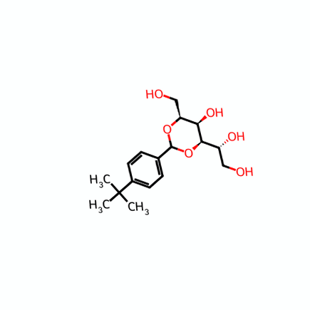 CC(C)(C)c1ccc(C2O[C@H]([C@H](O)CO)[C@H](O)[C@H](CO)O2)cc1